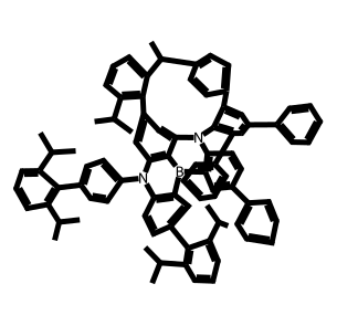 CC(C)c1cccc(C(C)C)c1-c1ccc(N2c3ccc(-c4c(C(C)C)cccc4C(C)C)cc3B3c4cc(-c5ccccc5)ccc4N4c5cc(cc2c53)-c2c(C(C)C)cccc2C(C)c2ccc(cc2)-c2cc(-c3ccccc3)cc(-c3ccccc3)c24)cc1